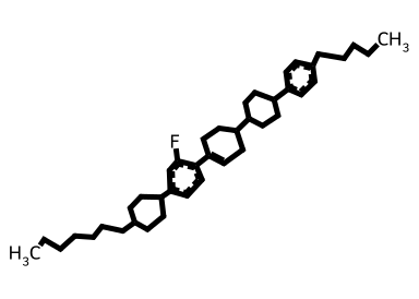 CCCCCCCC1CCC(c2ccc(C3=CCC(C4CCC(c5ccc(CCCCC)cc5)CC4)CC3)c(F)c2)CC1